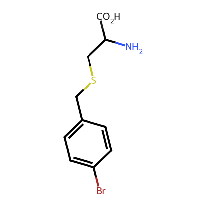 NC(CSCc1ccc(Br)cc1)C(=O)O